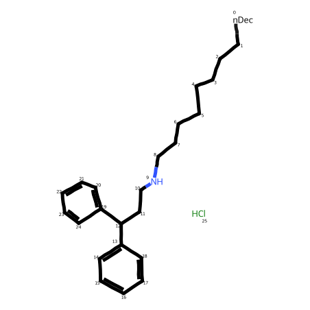 CCCCCCCCCCCCCCCCCCNCCC(c1ccccc1)c1ccccc1.Cl